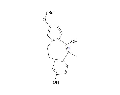 CCCCOc1ccc2c(c1)CCc1cc(O)ccc1/C(C)=C\2O